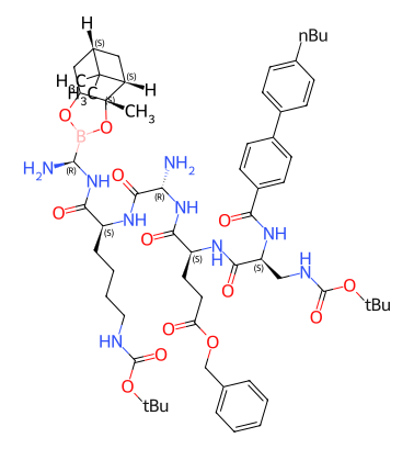 CCCCc1ccc(-c2ccc(C(=O)N[C@@H](CNC(=O)OC(C)(C)C)C(=O)N[C@@H](CCC(=O)OCc3ccccc3)C(=O)N[C@@H](N)C(=O)N[C@@H](CCCCNC(=O)OC(C)(C)C)C(=O)N[C@@H](N)B3OC4C[C@@H]5C[C@@H](C5(C)C)[C@]4(C)O3)cc2)cc1